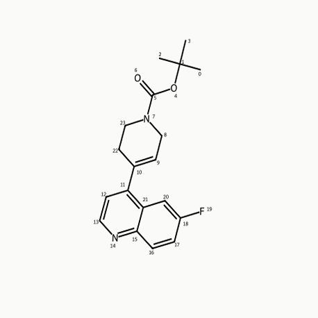 CC(C)(C)OC(=O)N1CC=C(c2ccnc3ccc(F)cc23)CC1